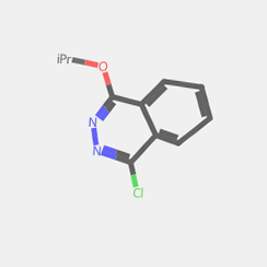 CC(C)Oc1nnc(Cl)c2ccccc12